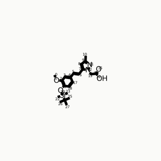 COc1cc(C=Cc2cc(C)nn2CC(=O)O)ccc1O[Si](C)(C)C(C)(C)C